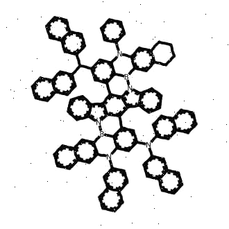 c1ccc(N2c3cc4c(cc3B3c5c(cc(C(c6ccc7ccccc7c6)c6ccc7ccccc7c6)cc52)-c2c5c6ccccc6n6c5c(c5c7ccccc7n3c25)-c2cc(N(c3ccc5ccccc5c3)c3ccc5ccccc5c3)cc3c2B6c2cc5ccccc5cc2N3c2ccc3ccccc3c2)CCCC4)cc1